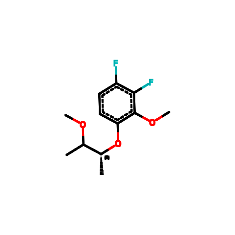 COc1c(O[C@H](C)C(C)OC)ccc(F)c1F